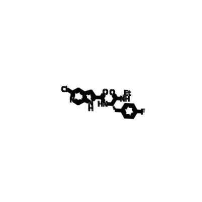 CCNC(=O)[C@H](Cc1ccc(F)cc1)NC(=O)c1cc2cc(Cl)ncc2[nH]1